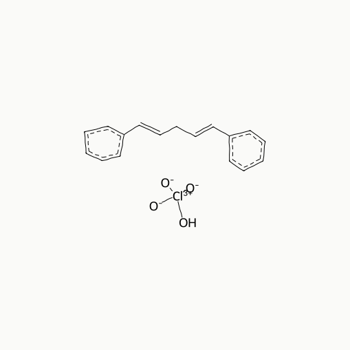 C(=Cc1ccccc1)CC=Cc1ccccc1.[O-][Cl+3]([O-])([O-])O